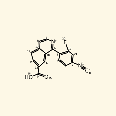 [C-]#[N+]c1ccc(-c2nccc3ccc(C(=O)O)cc23)c(F)c1